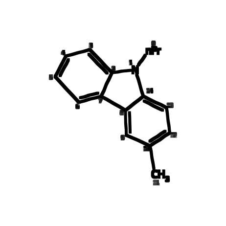 CCCn1c2ccccc2c2cc(C)ccc21